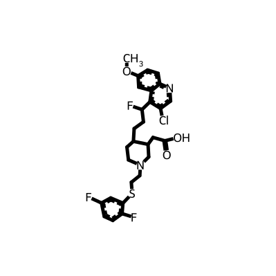 COc1ccc2ncc(Cl)c(C(F)CCC3CCN(CCSc4cc(F)ccc4F)CC3CC(=O)O)c2c1